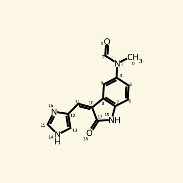 CN(C=O)c1ccc2c(c1)C(=Cc1c[nH]cn1)C(=O)N2